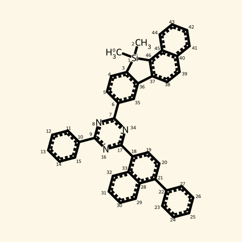 C[Si]1(C)c2ccc(-c3nc(-c4ccccc4)nc(-c4ccc(-c5ccccc5)c5ccccc45)n3)cc2-c2ccc3ccccc3c21